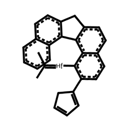 C[C](C)=[Hf][c]1c(C2=CC=CC2)ccc2ccc3c(c12)-c1c(ccc2ccccc12)C3